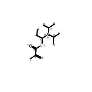 C=C(C)C(=O)OC(CC)[SiH](C(C)C)C(C)C